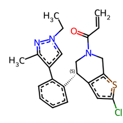 C=CC(=O)N1Cc2sc(Cl)cc2[C@H](c2ccccc2-c2cn(CC)nc2C)C1